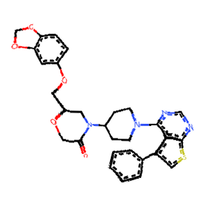 O=C1COC(COc2ccc3c(c2)OCO3)CN1C1CCN(c2ncnc3scc(-c4ccccc4)c23)CC1